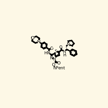 CCCCCOC(=O)n1nc(NC(=O)c2ccc(N3CCOCC3)cc2)c2sc(C(=O)N[C@H](CN3CCCC3)c3ccccc3)cc21